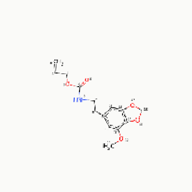 C=CCOC(=O)NCCc1cc(OC)c2c(c1)OCO2